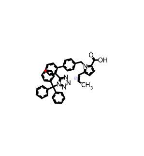 C/C=C\c1ccc(C(=O)O)n1Cc1ccc(-c2ccccc2-c2nnnn2C(c2ccccc2)(c2ccccc2)c2ccccc2)cc1